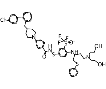 O=C(NSc1ccc(NC(CCN(CCO)CCO)CSc2ccccc2)c([S+]([O-])C(F)(F)F)c1)c1ccc(N2CCC(Cc3ccccc3-c3ccc(Cl)cc3)CC2)cc1